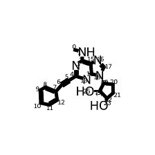 CNc1nc(C#Cc2ccccc2)nc2c1ncn2[C@@H]1CCC(O)[C@H]1O